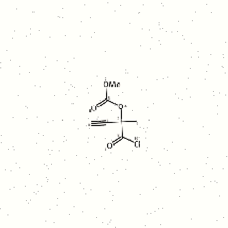 C#CC(C)(OC(=O)OC)C(=O)Cl